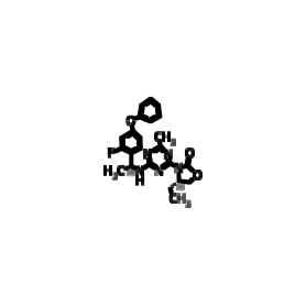 CC[C@H]1COC(=O)N1c1nc(C)nc(N[C@@H](C)c2ccc(Oc3ccccc3)cc2F)n1